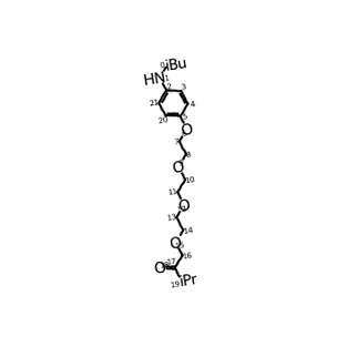 CCC(C)Nc1ccc(OCCOCCOCCOCC(=O)C(C)C)cc1